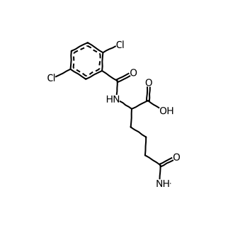 [NH]C(=O)CCCC(NC(=O)c1cc(Cl)ccc1Cl)C(=O)O